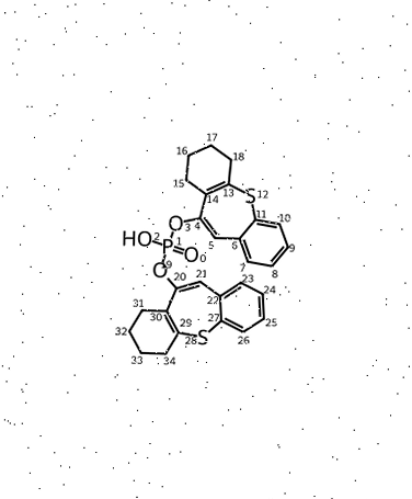 O=P(O)(OC1=Cc2ccccc2SC2=C1CCCC2)OC1=Cc2ccccc2SC2=C1CCCC2